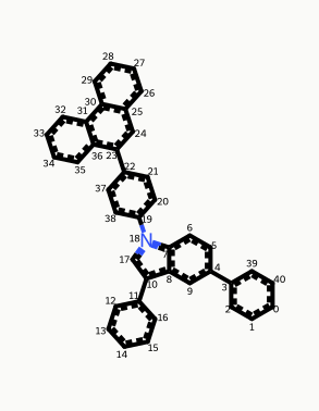 c1ccc(-c2ccc3c(c2)c(-c2ccccc2)cn3-c2ccc(-c3cc4ccccc4c4ccccc34)cc2)cc1